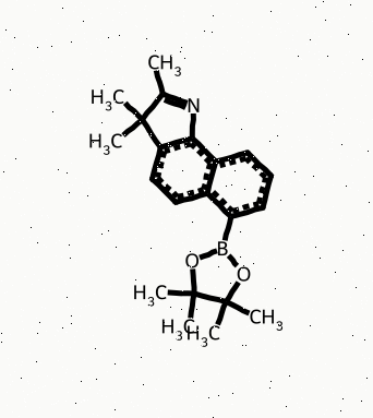 CC1=Nc2c(ccc3c(B4OC(C)(C)C(C)(C)O4)cccc23)C1(C)C